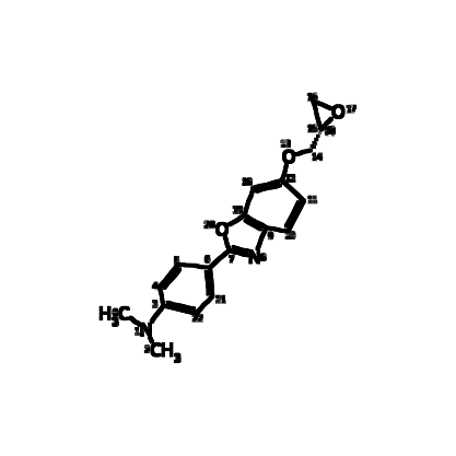 CN(C)c1ccc(-c2nc3ccc(OC[C@@H]4CO4)cc3o2)cc1